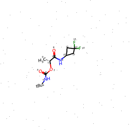 C[C@@H](OC(=O)NC(C)(C)C)C(=O)NC1CC(F)(F)C1